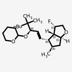 CCCCC(C)(C)[C@@H](C=C[C@@H]1[C@@H]2[C@H](F)CO[C@H]2C[C@H]1C)OC1CCCCO1